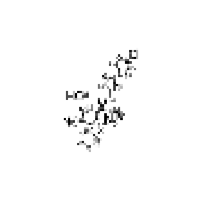 Cc1ccccc1-c1cc(C(OCc2csc(-c3ccc(Cl)cc3)n2)c2cncn2C)ccc1C#N.Cl